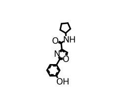 O=C(NC1CCCC1)c1coc(-c2cccc(O)c2)n1